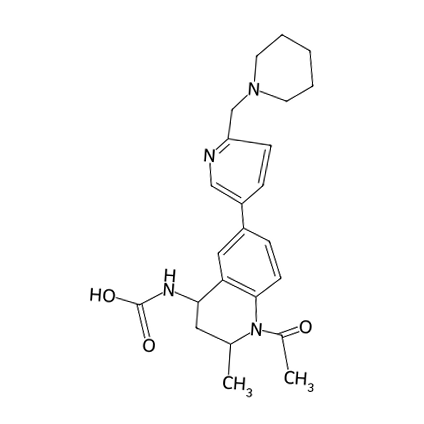 CC(=O)N1c2ccc(-c3ccc(CN4CCCCC4)nc3)cc2C(NC(=O)O)CC1C